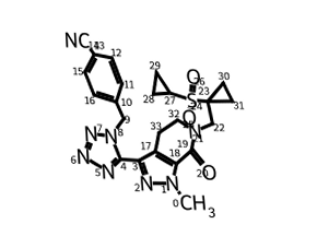 Cn1nc(-c2nnnn2Cc2ccc(C#N)cc2)c2c1C(=O)N(CC1(S(=O)(=O)C3CC3)CC1)CC2